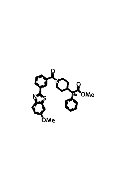 COC(=O)[C@@H](c1ccccc1)C1CCN(C(=O)c2cccc(-c3nc4ccc(OC)cc4s3)c2)CC1